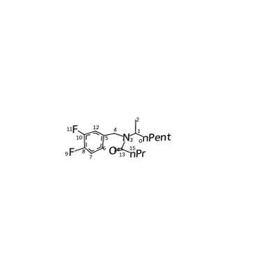 CCCCCC(C)N(Cc1ccc(F)c(F)c1)C(=O)CCC